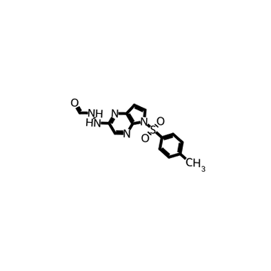 Cc1ccc(S(=O)(=O)n2ccc3nc(NNC=O)cnc32)cc1